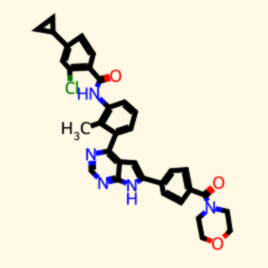 Cc1c(NC(=O)c2ccc(C3CC3)cc2Cl)cccc1-c1ncnc2[nH]c(-c3ccc(C(=O)N4CCOCC4)cc3)cc12